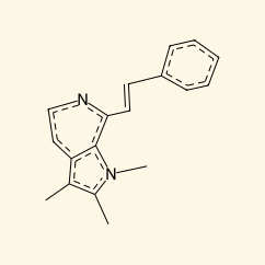 Cc1c(C)n(C)c2c(C=Cc3ccccc3)nccc12